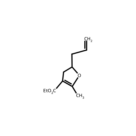 C=CCC1CC(C(=O)OCC)=C(C)O1